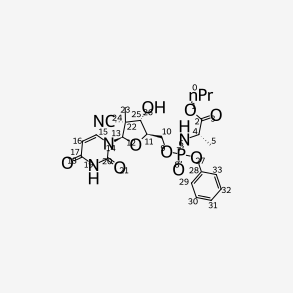 CCCOC(=O)[C@H](C)NP(=O)(OC[C@H]1O[C@@H](n2ccc(=O)[nH]c2=O)[C@](C)(C#N)[C@@H]1O)Oc1ccccc1